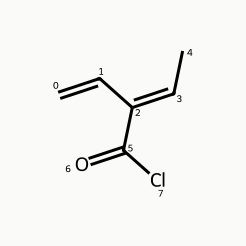 C=C/C(=C\C)C(=O)Cl